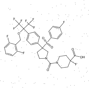 O=C(N1CCC(F)(C(=O)O)CC1)N1CCC(c2ccc(C(OCc3c(F)cccc3F)(C(F)(F)F)C(F)(F)F)cc2)(S(=O)(=O)c2ccc(F)cc2)C1